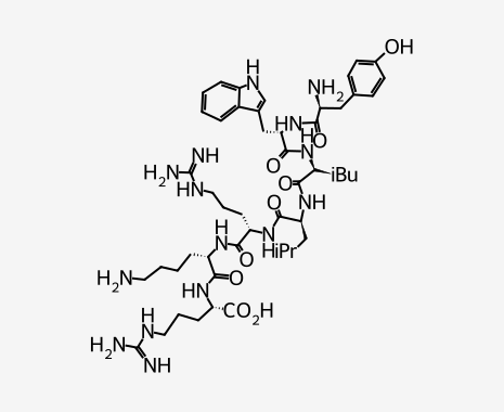 CC[C@H](C)[C@H](NC(=O)[C@H](Cc1c[nH]c2ccccc12)NC(=O)[C@@H](N)Cc1ccc(O)cc1)C(=O)N[C@@H](CC(C)C)C(=O)N[C@@H](CCCNC(=N)N)C(=O)N[C@@H](CCCCN)C(=O)N[C@@H](CCCNC(=N)N)C(=O)O